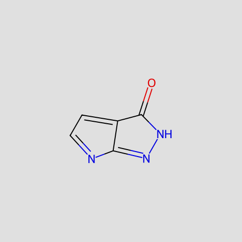 O=C1NN=C2N=CC=C12